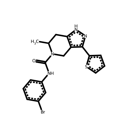 CC1Cc2[nH]nc(-c3cccs3)c2CN1C(=O)Nc1cccc(Br)c1